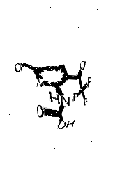 O=C(O)Nc1nc(Cl)ccc1C(=O)C(F)(F)F